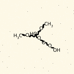 CC=COC=CCC(O)(CC=COC=CC)COCCOCCOCCO